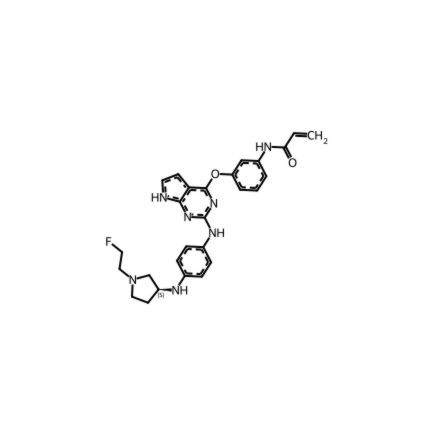 C=CC(=O)Nc1cccc(Oc2nc(Nc3ccc(N[C@H]4CCN(CCF)C4)cc3)nc3[nH]ccc23)c1